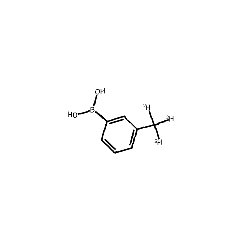 [2H]C([2H])([2H])c1cccc(B(O)O)c1